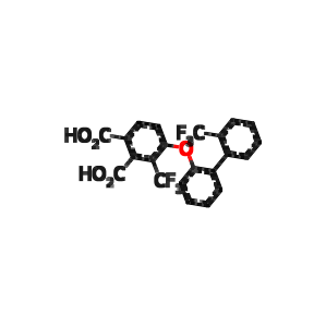 O=C(O)c1ccc(Oc2ccccc2-c2ccccc2C(F)(F)F)c(C(F)(F)F)c1C(=O)O